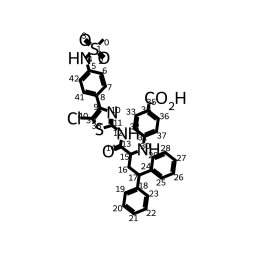 CS(=O)(=O)Nc1ccc(-c2nc(NC(=O)C(CC(c3ccccc3)c3ccccc3)Nc3ccc(C(=O)O)cc3)sc2Cl)cc1